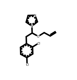 C=CCOC(Cc1ccc(Cl)cc1Cl)n1ccnc1